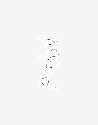 CC(C)(C)c1cccc(-c2nn(CC(C)(C)c3cncc(-c4cc(O)n[nH]4)c3)c(=O)o2)c1